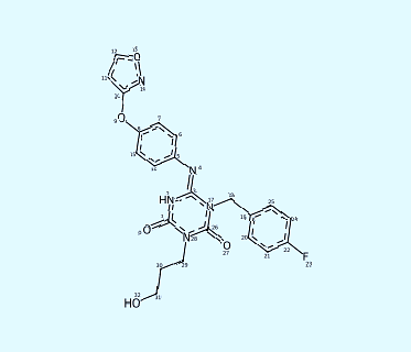 O=c1[nH]/c(=N\c2ccc(Oc3ccon3)cc2)n(Cc2ccc(F)cc2)c(=O)n1CCCO